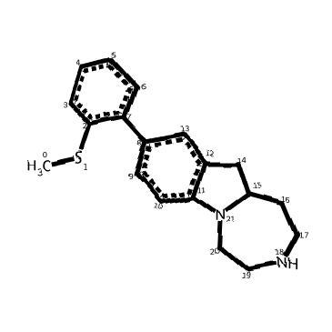 CSc1ccccc1-c1ccc2c(c1)CC1CCNCCN21